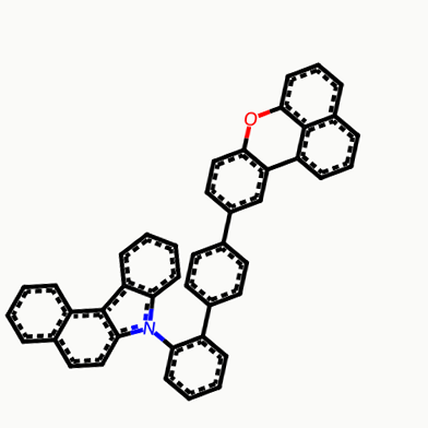 c1ccc(-n2c3ccccc3c3c4ccccc4ccc32)c(-c2ccc(-c3ccc4c(c3)-c3cccc5cccc(c35)O4)cc2)c1